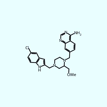 COCC1CN(Cc2cc3cc(Cl)ccc3[nH]2)CCN1Cc1ccc2c(N)ncnc2c1